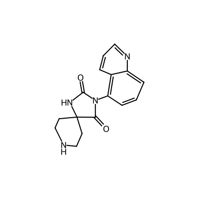 O=C1NC2(CCNCC2)C(=O)N1c1cccc2ncccc12